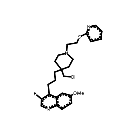 COc1ccc2ncc(F)c(CCCC3(CO)CCN(CCSc4ccccn4)CC3)c2c1